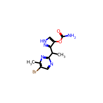 Cc1nc(C(C)c2n[nH]cc2OC(N)=O)ncc1Br